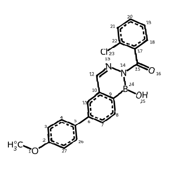 COc1ccc(-c2ccc3c(c2)C=NN(C(=O)c2ccccc2Cl)B3O)cc1